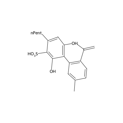 C=C(C)c1ccc(C)cc1-c1c(O)cc(CCCCC)c(S(=O)(=O)O)c1O